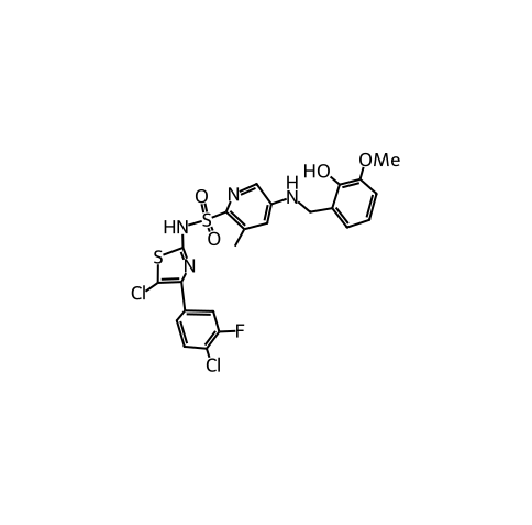 COc1cccc(CNc2cnc(S(=O)(=O)Nc3nc(-c4ccc(Cl)c(F)c4)c(Cl)s3)c(C)c2)c1O